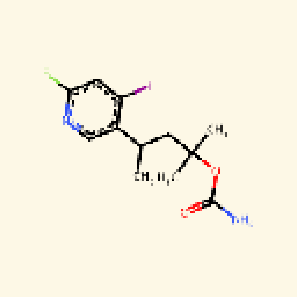 CC(CC(C)(C)OC(N)=O)c1cnc(F)cc1I